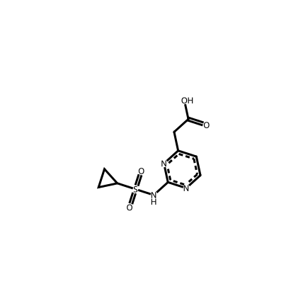 O=C(O)Cc1ccnc(NS(=O)(=O)C2CC2)n1